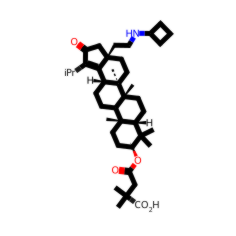 CC(C)C1=C2[C@H]3CCC4[C@@]5(C)CC[C@H](OC(=O)CC(C)(C)C(=O)O)C(C)(C)[C@H]5CC[C@@]4(C)[C@]3(C)CC[C@@]2(CCNC2CCC2)CC1=O